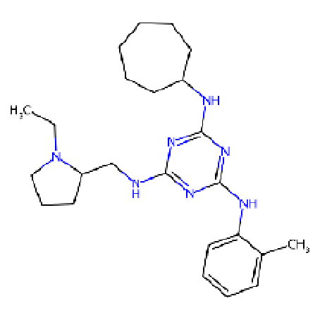 CCN1CCCC1CNc1nc(Nc2ccccc2C)nc(NC2CCCCCC2)n1